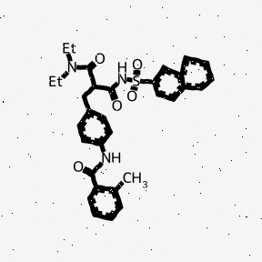 CCN(CC)C(=O)C(Cc1ccc(NC(=O)c2ccccc2C)cc1)C(=O)NS(=O)(=O)c1ccc2ccccc2c1